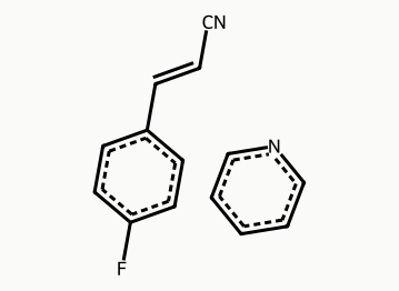 N#CC=Cc1ccc(F)cc1.c1ccncc1